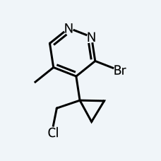 Cc1cnnc(Br)c1C1(CCl)CC1